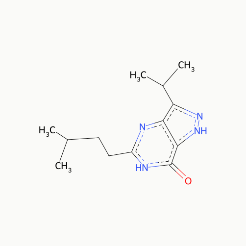 CC(C)CCc1nc2c(C(C)C)n[nH]c2c(=O)[nH]1